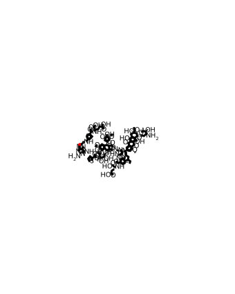 CCC(Cc1cnc2nc(=N)[nH]c(N)c2n1)c1ccc(C(=O)N[C@@H](CCC(=O)O)C(=O)O)cc1.COc1cc([C@@H]2c3cc4c(cc3[C@@H](O[C@@H]3O[C@@H]5COC(c6cccs6)O[C@H]5[C@H](O)[C@H]3O)[C@H]3COC(=O)[C@H]23)OCO4)cc(OC)c1O.COc1cccc2c1C(=O)c1c(O)c3c(c(O)c1C2=O)C[C@@](O)(C(C)=O)C[C@@H]3O[C@H]1C[C@H](N)[C@H](O)[C@H](C)O1.Nc1nc(N)c2nc(CNc3ccc(C(=O)NC(CCC(=O)O)C(=O)O)cc3)cnc2n1